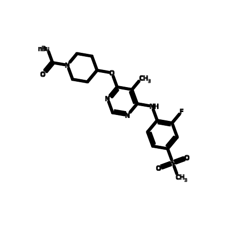 CCCCC(=O)N1CCC(Oc2ncnc(Nc3ccc(S(C)(=O)=O)cc3F)c2C)CC1